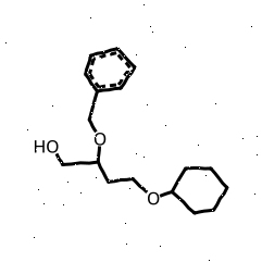 OCC(CCOC1CCCCC1)OCc1ccccc1